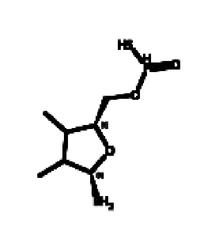 B[C@@H]1O[C@H](CO[PH](=O)S)C(C)C1C